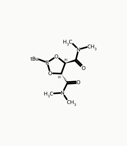 CN(C)C(=O)[C@@H]1OB(C(C)(C)C)O[C@H]1C(=O)N(C)C